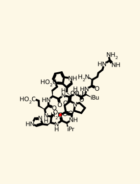 CC[C@H](C)[C@H](NC(=O)[C@@H](N)CCCNC(=N)N)C(=O)N[C@@H](Cc1c[nH]c2ccccc12)C(=O)N1CCC[C@H]1C(=O)N[C@H](C(=O)N[C@@H](Cc1c[nH]cn1)C(=O)N[C@@H](CCC(=O)O)C(=O)N[C@@H](CCC(=O)O)C(=O)N[C@@H](CCC(N)=O)C(=O)O)C(C)C